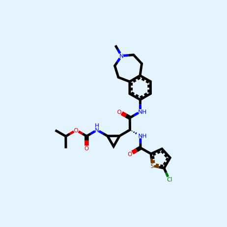 CC(C)OC(=O)NC1CC1[C@@H](NC(=O)c1ccc(Cl)s1)C(=O)Nc1ccc2c(c1)CCN(C)CC2